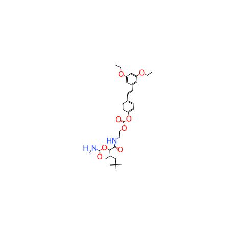 CCOc1cc(C=Cc2ccc(OC(=O)OCCNC(=O)C(OC(N)=O)C(C)CC(C)(C)C)cc2)cc(OCC)c1